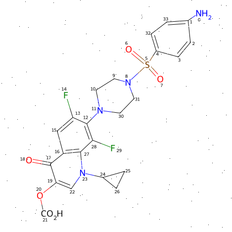 Nc1ccc(S(=O)(=O)N2CCN(c3c(F)cc4c(=O)c(OC(=O)O)cn(C5CC5)c4c3F)CC2)cc1